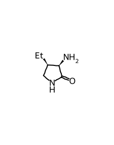 CC[C@@H]1CNC(=O)[C@@H]1N